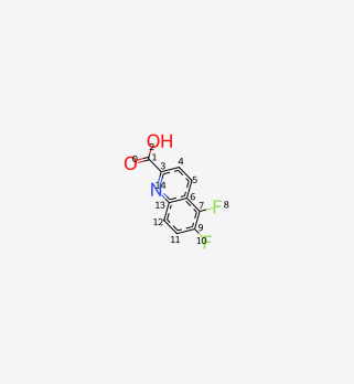 O=C(O)c1ccc2c(F)c(F)ccc2n1